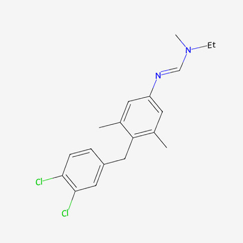 CCN(C)C=Nc1cc(C)c(Cc2ccc(Cl)c(Cl)c2)c(C)c1